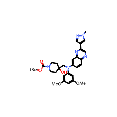 COc1cc(OC)cc(N(CC2(O)CCN(C(=O)OC(C)(C)C)CC2)c2ccc3ncc(-c4cnn(C)c4)nc3c2)c1